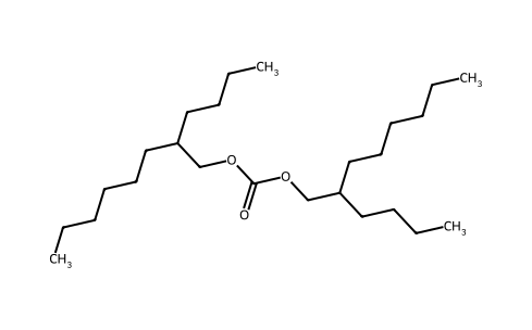 CCCCCCC(CCCC)COC(=O)OCC(CCCC)CCCCCC